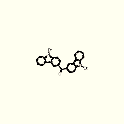 CCn1c2ccccc2c2cc(C(=O)c3ccc4c(c3)c3ccccc3n4CC)ccc21